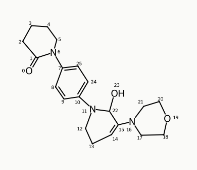 O=C1CCCCN1c1ccc(N2CCC=C(N3CCOCC3)C2O)cc1